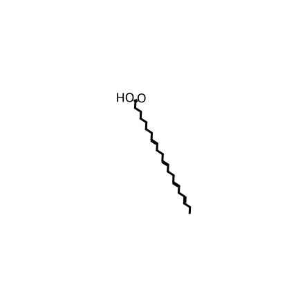 CC/C=C/C/C=C/CC/C=C/CC/C=C/CCCCCCC(=O)O